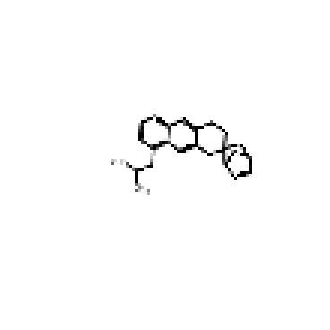 CC(C)Cc1cccc2cc3c(cc12)CC1(CC3)CC2C=CC1C2